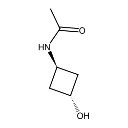 CC(=O)N[C@H]1C[C@H](O)C1